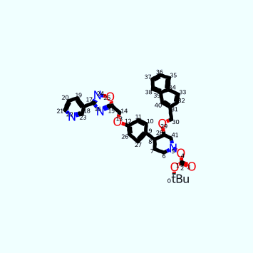 CC(C)(C)OC(=O)ON1CCC(c2ccc(OCc3nc(-c4cccnc4)no3)cc2)C(OCc2ccc3ccccc3c2)C1